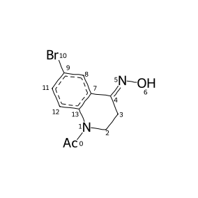 CC(=O)N1CCC(=NO)c2cc(Br)ccc21